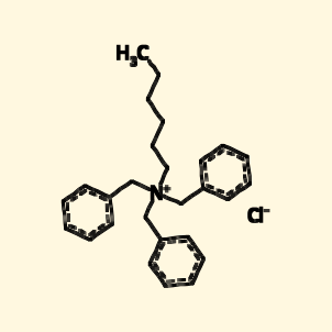 CCCCCC[N+](Cc1ccccc1)(Cc1ccccc1)Cc1ccccc1.[Cl-]